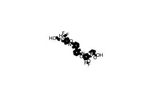 Cc1c(-c2nc3cc(CNCCO)c(OC(F)F)cc3o2)cccc1-c1cccc(-c2nc3cc(CN4CCC[C@H]4C(=O)O)c(OC(F)F)cc3o2)c1C